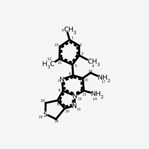 Cc1cc(C)c(-c2nc3c4c(nn3c(N)c2CN)CSC4)c(C)c1